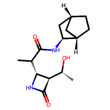 CC(C(=O)N[C@H]1C[C@@H]2CC[C@H]1C2)[C@H]1NC(=O)[C@@H]1[C@@H](C)O